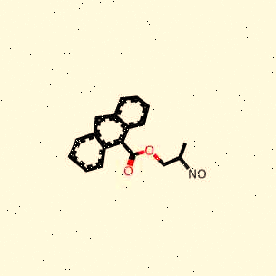 CC(COC(=O)c1c2ccccc2cc2ccccc12)N=O